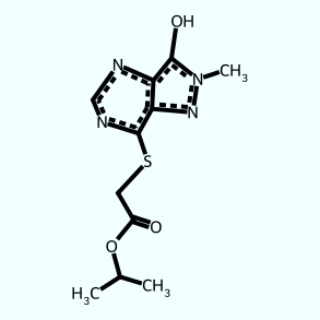 CC(C)OC(=O)CSc1ncnc2c(O)n(C)nc12